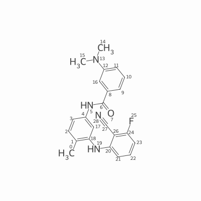 Cc1ccc(NC(=O)c2cccc(N(C)C)c2)cc1Nc1cccc(F)c1C#N